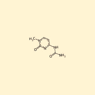 Cn1ccc(NC(N)=O)nc1=O